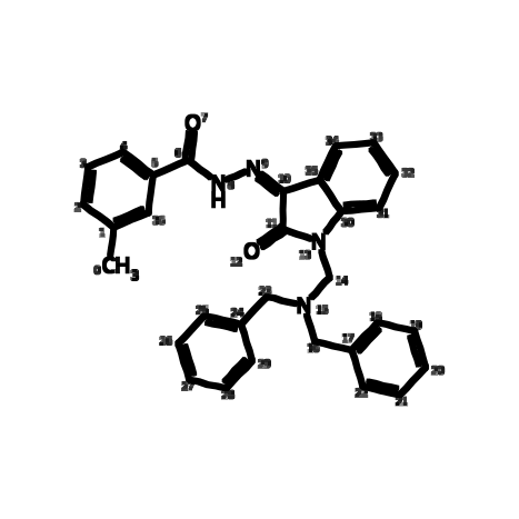 Cc1cccc(C(=O)NN=C2C(=O)N(CN(Cc3ccccc3)Cc3ccccc3)c3ccccc32)c1